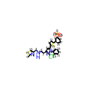 Cc1nc(CNCCc2cc(-c3ccc(-c4cccc(S(C)(=O)=O)c4)s3)n(-c3ccccc3Cl)n2)cs1